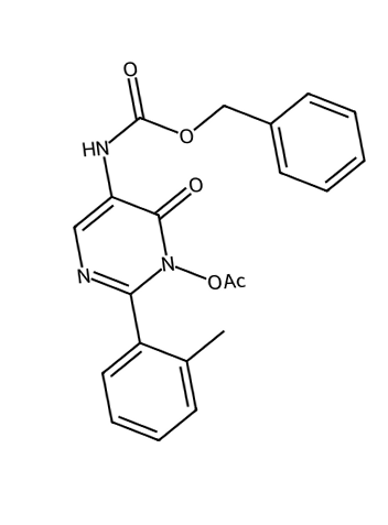 CC(=O)On1c(-c2ccccc2C)ncc(NC(=O)OCc2ccccc2)c1=O